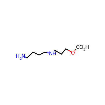 NCCCCNCCCOC(=O)O